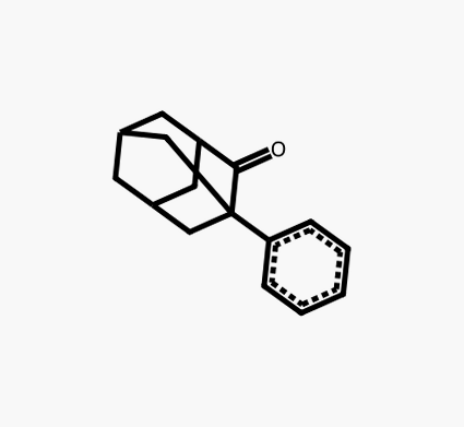 O=C1C2CC3CC(C2)CC1(c1ccccc1)C3